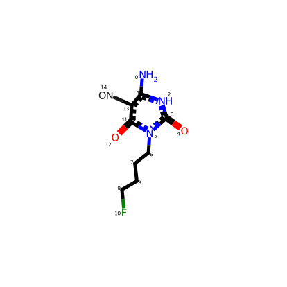 Nc1[nH]c(=O)n(CCCCF)c(=O)c1N=O